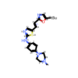 CN1CCN(c2ccc(Nc3ncc(/C=C/c4ncc(C(C)(C)C)o4)s3)cc2)CC1